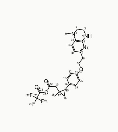 CN1CCNc2nc(CCOc3ccc(C4CC4(C)CC(=O)OC(=O)C(F)(F)F)cc3)ccc21